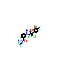 O=CC1(CNc2ccc(Cl)c(C(=O)NCC(F)(F)F)c2)C(c2ccc(C(F)(F)F)c(Br)c2)C1(Cl)Cl